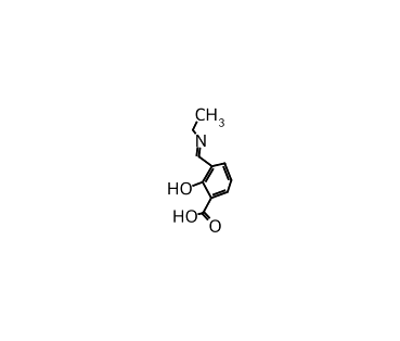 CCN=Cc1cccc(C(=O)O)c1O